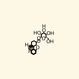 OC[C@H]1OC(OOC2CC[C@H]3[C@H]4Cc5cccc6c5[C@@]3(CCN4)C2O6)[C@H](O)[C@@H](O)[C@@H]1O